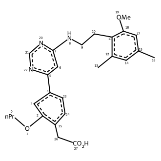 CCCOc1cc(-c2cc(NCCc3c(C)cc(C)cc3OC)ncn2)ccc1CC(=O)O